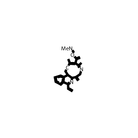 C=CC1=NC2C(=C)C/N=C(C)\C(C(=C)OCNC)=C(\C)CCC2c2ccccc21